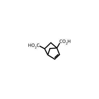 O=C(O)C1CC2(C(=O)O)C=CC1C2